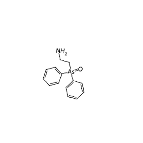 NCC[As](=O)(c1ccccc1)c1ccccc1